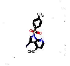 Cc1ccc(S(=O)(=O)n2cc(I)c3c(C=O)ccnc32)cc1